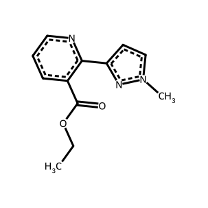 CCOC(=O)c1cccnc1-c1ccn(C)n1